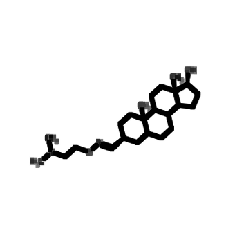 CN(C)CCON=C[C@H]1CC[C@@]2(C)C(CCC3C2CC[C@@]2(C)C3CC[C@@H]2O)C1